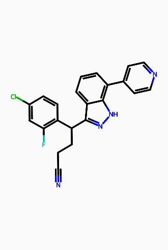 N#CCCC(c1ccc(Cl)cc1F)c1n[nH]c2c(-c3ccncc3)cccc12